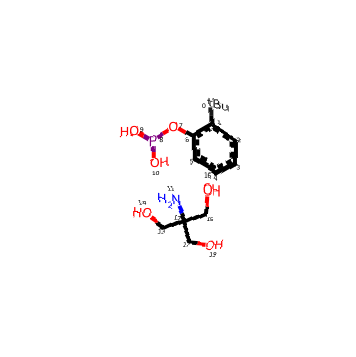 CC(C)(C)c1ccccc1OP(O)O.NC(CO)(CO)CO